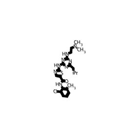 Cc1cccc(Cl)c1NC(=O)c1cnc(Nc2nc(CC(C)C)nc(NCCN(C)C)n2)s1